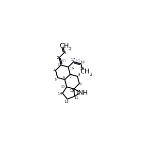 C=C/C=C1/CCC2C(CCC34NC3CCC24)C1/C=C\C